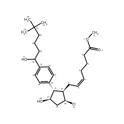 COC(=O)CCC/C=C\C[C@@H]1[C@@H](c2ccc(C(O)CCCC(C)(C)C)cc2)[C@H](O)C[C@@H]1Cl